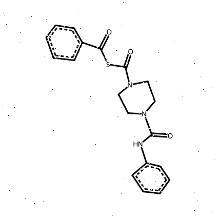 O=C(SC(=O)N1CCN(C(=O)Nc2ccccc2)CC1)c1ccccc1